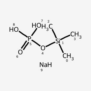 C[Si](C)(C)OP(=O)(O)O.[NaH]